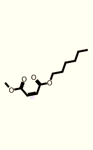 CCCCCCOC(=O)/C=C\C(=O)OC